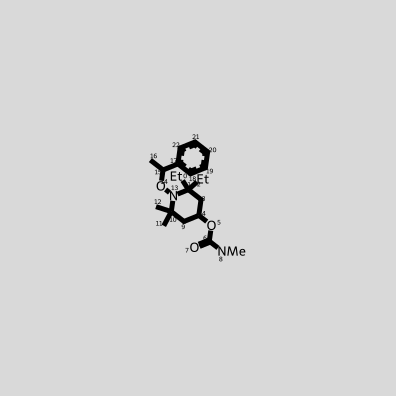 CCC1(CC)CC(OC(=O)NC)CC(C)(C)N1OC(C)c1ccccc1